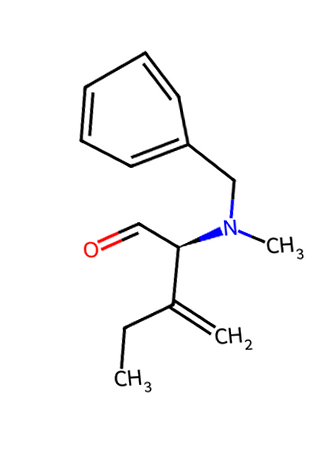 C=C(CC)[C@@H](C=O)N(C)Cc1ccccc1